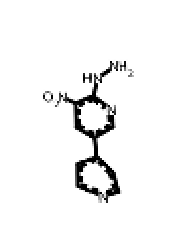 NNc1ncc(-c2ccncc2)cc1[N+](=O)[O-]